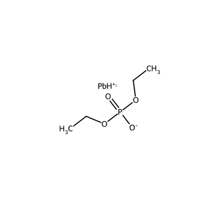 CCOP(=O)([O-])OCC.[PbH+]